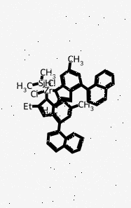 CCC1=Cc2c(-c3cccc4ccccc34)cc(C)cc2[CH]1[Zr]([Cl])([Cl])([CH]1C(C)=Cc2c(-c3cccc4ccccc34)cc(C)cc21)[SiH](C)C